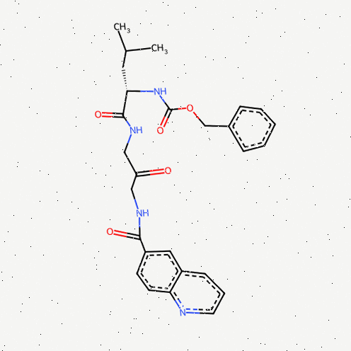 CC(C)C[C@H](NC(=O)OCc1ccccc1)C(=O)NCC(=O)CNC(=O)c1ccc2ncccc2c1